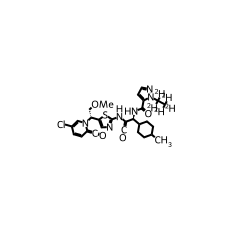 [2H]C([2H])([2H])C([2H])([2H])n1nccc1C(=O)N[C@H](C(=C=O)Nc1ncc([C@@H](COC)N2C=C(Cl)C=CC2=C=O)s1)C1CCC(C)CC1